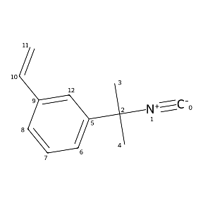 [C-]#[N+]C(C)(C)c1cccc(C=C)c1